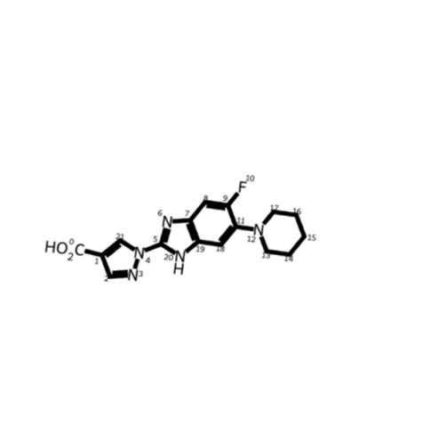 O=C(O)c1cnn(-c2nc3cc(F)c(N4CCCCC4)cc3[nH]2)c1